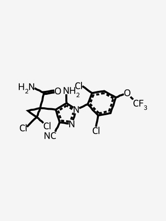 N#Cc1nn(-c2c(Cl)cc(OC(F)(F)F)cc2Cl)c(N)c1C1(C(N)=O)CC1(Cl)Cl